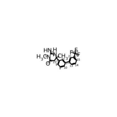 CN1C(=N)N[C@](C)(c2cccc(-c3cccc(C(F)(F)F)c3)c2)CC1=O